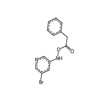 O=C(Cc1ccccc1)ONc1cncc(Br)c1